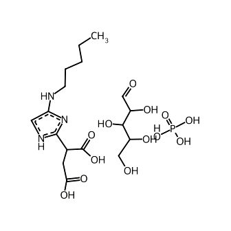 CCCCCNc1c[nH]c(C(CC(=O)O)C(=O)O)n1.O=CC(O)C(O)C(O)CO.O=P(O)(O)O